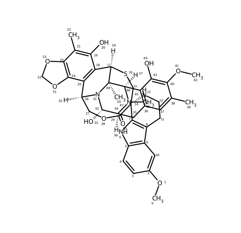 COc1ccc2[nH]c3c(c2c1)CCN[C@]31CS[C@@H]2c3c(O)c(C)c4c(c3[C@H](COC1=O)N1[C@@H](O)[C@@H]3Cc5cc(C)c(OC)c(O)c5[C@@H](N3C)[C@]21C)OCO4